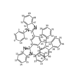 c1ccc(-n2c(-c3cc(-c4nc5ccccc5n4-c4ccccc4)cc(C4(c5ccccc5)c5ccccc5-c5ccccc54)c3)nc3ccccc32)cc1